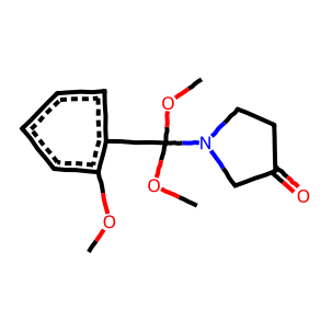 COc1ccccc1C(OC)(OC)N1CCC(=O)C1